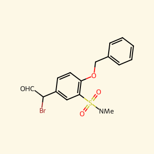 CNS(=O)(=O)c1cc(C(Br)C=O)ccc1OCc1ccccc1